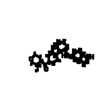 C[C@H]1COCCN1C(=O)[C@H]1CCc2c(sc3ncnc(Nc4cc5cn[nH]c5cn4)c23)C1